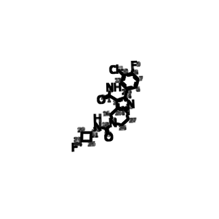 NC(=O)c1c(-c2ccc(F)c(Cl)c2)nn2c1CN(C(=O)N[C@H]1C[C@@H](F)C1)CC2